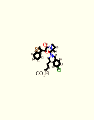 CC1(C(=O)N(CCCCCC(=O)O)Cc2ccc(Cl)cc2)CCN1C(=O)Cc1csc2ccccc12